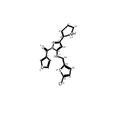 O=C(c1ccoc1)n1nc(C2CCCN2)cc1NCc1ccc(Cl)s1